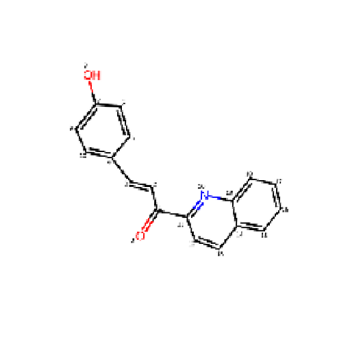 O=C(C=Cc1ccc(O)cc1)c1ccc2ccccc2n1